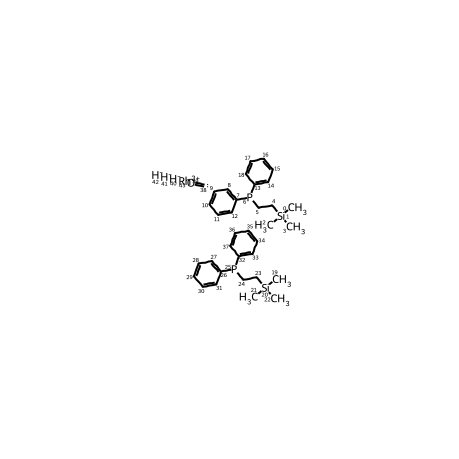 C[Si](C)(C)CCP(c1ccccc1)c1ccccc1.C[Si](C)(C)CCP(c1ccccc1)c1ccccc1.[C]=O.[H-].[H-].[H-].[Rh+3]